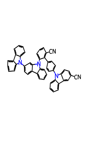 N#Cc1ccc2c(c1)c1ccccc1n2-c1ccc(-c2c(C#N)cccc2-n2c3ccccc3c3ccc(-n4c5ccccc5c5ccccc54)cc32)cc1